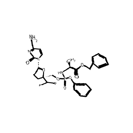 C[C@H](NP(=O)(OC[C@]1(C(F)F)CC[C@H](n2ccc(N)nc2=O)O1)Oc1ccccc1)C(=O)OCc1ccccc1